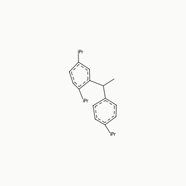 CC(C)c1ccc(C(C)c2cc(C(C)C)ccc2C(C)C)cc1